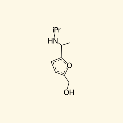 CC(C)NC(C)c1ccc(CO)o1